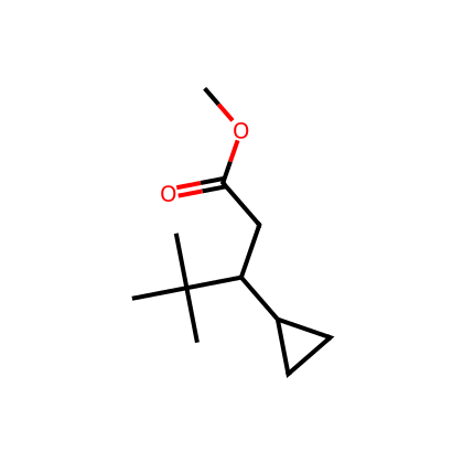 COC(=O)CC(C1CC1)C(C)(C)C